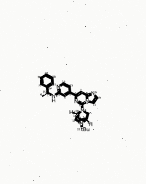 C[C@H](Nc1cc(-c2cc3nccn3c(N3C[C@H]4C[C@@H]3CN4C(C)(C)C)n2)ccn1)c1ccccc1